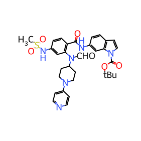 CC(C)(C)OC(=O)n1ccc2ccc(NC(=O)c3ccc(NS(C)(=O)=O)cc3N(C=O)C3CCN(c4ccncc4)CC3)cc21